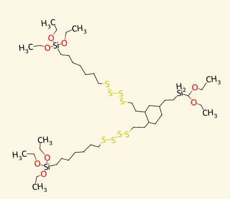 CCOC(OCC)[SiH2]CCC1CCC(CCSSSSCCCCCCC[Si](OCC)(OCC)OCC)C(CCSSSSCCCCCCC[Si](OCC)(OCC)OCC)C1